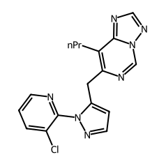 CCCc1c(Cc2ccnn2-c2ncccc2Cl)ncn2ncnc12